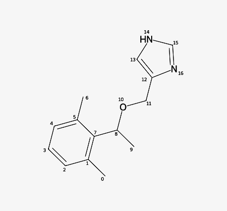 Cc1cccc(C)c1C(C)OCc1c[nH]cn1